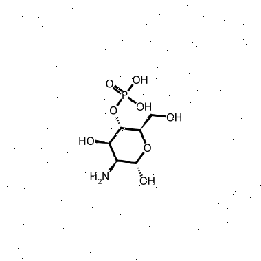 N[C@H]1[C@@H](O)[C@H](OP(=O)(O)O)[C@@H](CO)O[C@@H]1O